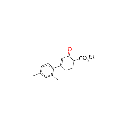 CCOC(=O)C1CCC(c2ccc(C)cc2C)=CC1=O